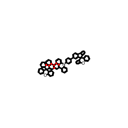 c1ccc(-c2ccc(-c3ccccc3N(c3ccc(-c4ccc5c(c4)C4(c6ccccc6Oc6ccccc64)c4ccccc4-5)cc3)c3cccc(-c4ccc5c(c4)-c4ccccc4C54c5ccccc5Oc5ccccc54)c3)cc2)cc1